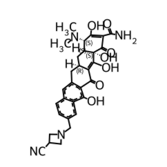 CN(C)[C@@H]1C(O)=C(C(N)=O)C(=O)[C@@]2(O)C(O)=C3C(=O)c4c(cc5ccc(CN6CC(C#N)C6)cc5c4O)C[C@H]3C[C@@H]12